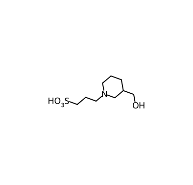 O=S(=O)(O)CCCN1CCCC(CO)C1